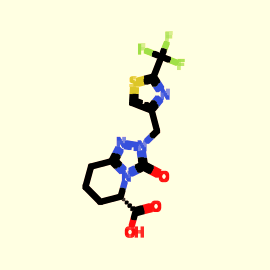 O=C(O)[C@@H]1CCCc2nn(Cc3csc(C(F)(F)F)n3)c(=O)n21